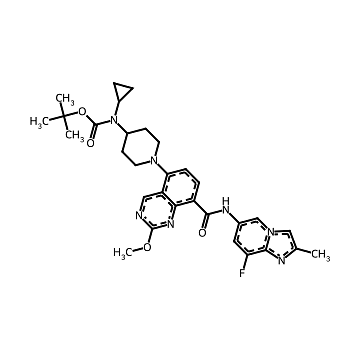 COc1ncc2c(N3CCC(N(C(=O)OC(C)(C)C)C4CC4)CC3)ccc(C(=O)Nc3cc(F)c4nc(C)cn4c3)c2n1